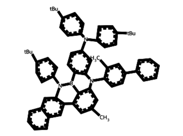 Cc1cc2c3c(c1)N(c1ccc(-c4ccccc4)cc1C)c1cc(N(c4ccc(C(C)(C)C)cc4)c4ccc(C(C)(C)C)cc4)ccc1B3N(c1ccc(C(C)(C)C)cc1)c1cc3ccccc3cc1-2